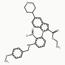 CCOC(=O)c1cc2cc(C3CCOCC3)ccc2n1-c1cccc(NCc2ccc(OC)cc2)c1[N+](=O)[O-]